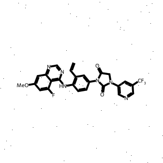 C=Cc1cc(N2C(=O)CN(c3cncc(C(F)(F)F)c3)C2=O)ccc1Nc1ncnc2cc(OC)cc(F)c12